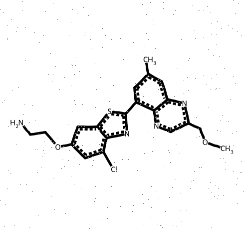 COCc1cnc2c(-c3nc4c(Cl)cc(OCCN)cc4s3)cc(C)cc2n1